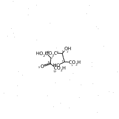 O=C(O)C(O)C(O)C(=O)O.O=C(O)CC(=O)C(=O)O